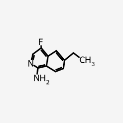 CCc1ccc2c(N)ncc(F)c2c1